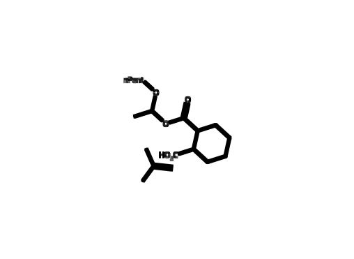 C=C(C)C.CCCCCOC(C)OC(=O)C1CCCCC1C(=O)O